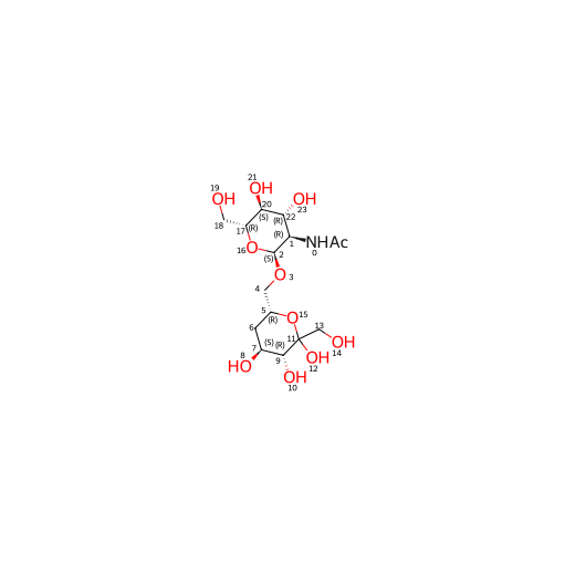 CC(=O)N[C@H]1[C@@H](OC[C@H]2C[C@H](O)[C@@H](O)C(O)(CO)O2)O[C@H](CO)[C@@H](O)[C@@H]1O